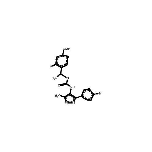 COc1ccc(C(C)OC(=O)Nc2c(C)noc2-c2ccc(Br)cc2)c(F)c1